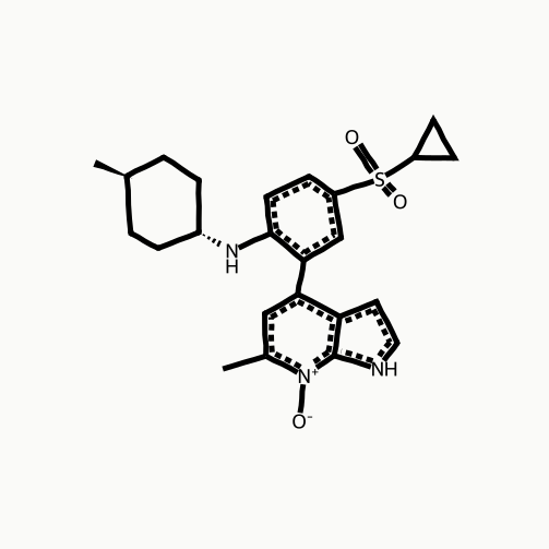 Cc1cc(-c2cc(S(=O)(=O)C3CC3)ccc2N[C@H]2CC[C@H](C)CC2)c2cc[nH]c2[n+]1[O-]